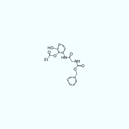 CCC(=O)Oc1c(O)cccc1NC(=O)CNC(=O)OCc1ccccc1